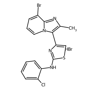 Br.Cc1nc2c(Br)cccn2c1-c1csc(Nc2ccccc2Cl)n1